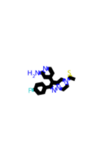 CC(=S)N1CCn2nc(-c3ccc(F)cc3)c(-c3ccnc(N)c3)c2C1